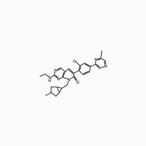 CCNc1ncc2cc(-c3ccc(-c4cncc(C)n4)cc3Cl)c(=O)n(CC3C4CN(C)CC43)c2n1